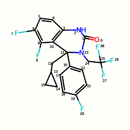 O=C1Nc2ccc(F)c(F)c2C(CC2CC2)(c2ccc(F)cc2)N1CC(F)(F)F